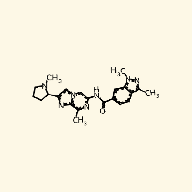 Cc1nn(C)c2cc(C(=O)Nc3cn4cc([C@H]5CCCN5C)nc4c(C)n3)ccc12